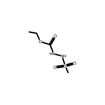 CCOC(=O)NNS(C)(=O)=O